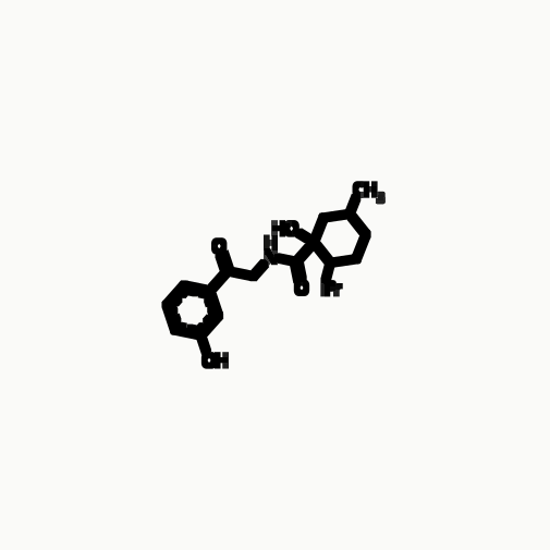 CC1CCC(C(C)C)C(O)(C(=O)NCC(=O)c2cccc(O)c2)C1